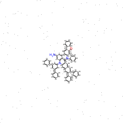 Nc1cc2c3c(c1)N(c1cc(-c4ccccc4)cc(-c4ccccc4)c1)c1cc4cc5c6ccccc6c6ccccc6c5cc4cc1B3n1c3ccccc3c3c4oc5ccccc5c4cc-2c31